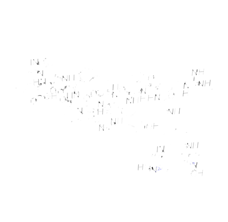 CCC(C)[C@H](NC(=O)[C@H](Cc1ccc(O)cc1)NC(=O)C(NC(=O)[C@H](CCCNC(=N)N)NC(=O)CNCCC(CCNC(C)(C)/C(C)=N\O)CCNC(C)(C)/C(C)=N/O)C(C)C)C(=O)N[C@@H](Cc1c[nH]cn1)C(=O)N1CCC[C@H]1C(=O)N[C@H](C(=O)N[C@@H](Cc1c[nH]cn1)C(=O)N[C@@H](CC(C)C)C(=O)O)c1ccccc1